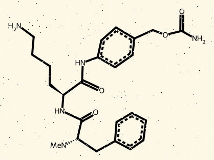 CN[C@@H](Cc1ccccc1)C(=O)N[C@@H](CCCCN)C(=O)Nc1ccc(COC(N)=O)cc1